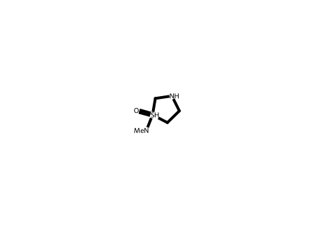 CN[SH]1(=O)CCNC1